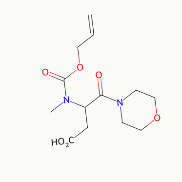 C=CCOC(=O)N(C)C(CC(=O)O)C(=O)N1CCOCC1